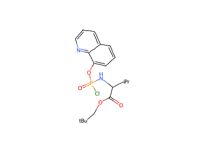 CC(C)C(NP(=O)(Cl)Oc1cccc2cccnc12)C(=O)OCC(C)(C)C